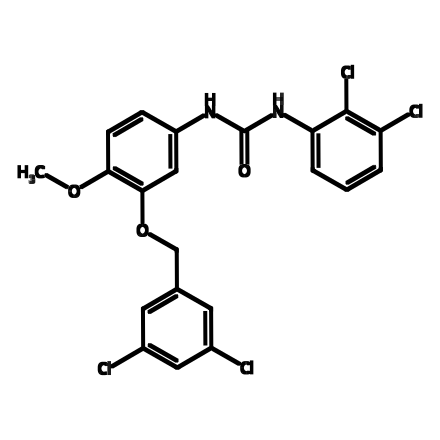 COc1ccc(NC(=O)Nc2cccc(Cl)c2Cl)cc1OCc1cc(Cl)cc(Cl)c1